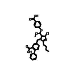 CCCCc1nc(Cl)c(C(OC)Oc2ccc(C(=O)O)cc2)n1Cc1ccc(-c2ccccc2)c(C(=O)O)c1